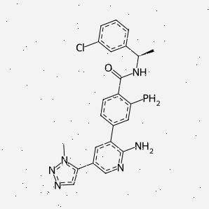 C[C@@H](NC(=O)c1ccc(-c2cc(-c3cnnn3C)cnc2N)cc1P)c1cccc(Cl)c1